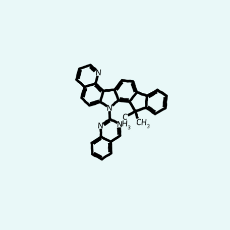 CC1(C)c2ccccc2-c2ccc3c4c5ncccc5ccc4n(-c4ncc5ccccc5n4)c3c21